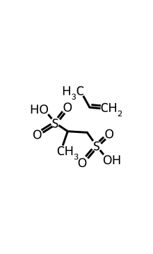 C=CC.CC(CS(=O)(=O)O)S(=O)(=O)O